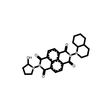 O=C1c2ccc3c4c(ccc(c24)C(=O)N1N1CCCC1O)C(=O)N(N1CCCC2CCCCC21)C3=O